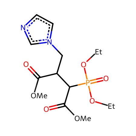 CCOP(=O)(OCC)C(C(=O)OC)C(Cn1ccnc1)C(=O)OC